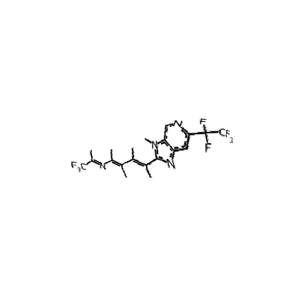 C\C(=N/C(C)=C(C)/C(C)=C(\C)c1nc2cc(C(F)(F)C(F)(F)F)ncc2n1C)C(F)(F)F